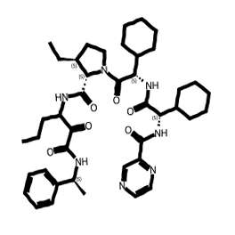 CCCC(NC(=O)[C@@H]1[C@@H](CC)CCN1C(=O)[C@@H](NC(=O)[C@@H](NC(=O)c1cnccn1)C1CCCCC1)C1CCCCC1)C(=O)C(=O)N[C@@H](C)c1ccccc1